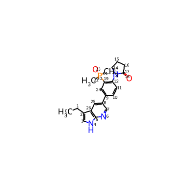 CCc1c[nH]c2ncc(-c3ccc(N4CCCC4=O)c(P(C)(C)=O)c3)cc12